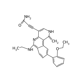 C=C1NC=C(C#CC(N)=O)c2nc(NCC)c3ccc(-c4ccccc4OCC)cc3c21